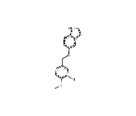 COc1ccc(COc2cnc3[nH]ccc3c2)cc1Cl